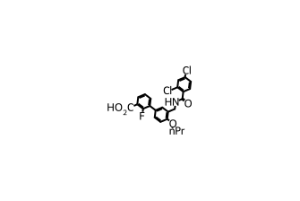 CCCOc1ccc(-c2cccc(C(=O)O)c2F)cc1CNC(=O)c1ccc(Cl)cc1Cl